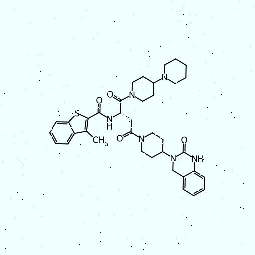 Cc1c(C(=O)N[C@@H](CC(=O)N2CCC(N3Cc4ccccc4NC3=O)CC2)C(=O)N2CCC(N3CCCCC3)CC2)sc2ccccc12